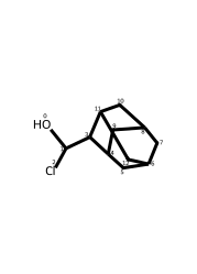 OC(Cl)C1C2CC3CC(C2)CC1C3